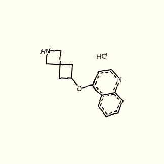 Cl.c1ccc2c(OC3CC4(CNC4)C3)ccnc2c1